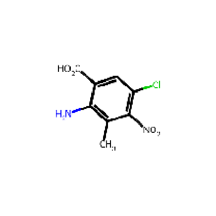 Cc1c(N)c(C(=O)O)cc(Cl)c1[N+](=O)[O-]